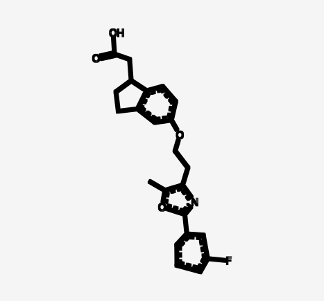 Cc1oc(-c2cccc(F)c2)nc1CCOc1ccc2c(c1)CCC2CC(=O)O